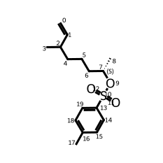 C=CC(C)CCC[C@H](C)OS(=O)(=O)c1ccc(C)cc1